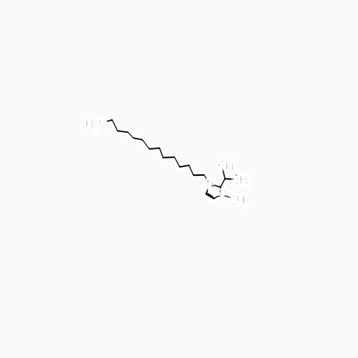 CCCCCCCCCCCCCCN1C=CN(C)C1C(C)C